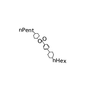 CCCCCCC1CCC(c2ccc(C(=O)OC3CCC(CCCCC)CC3)cc2)CC1